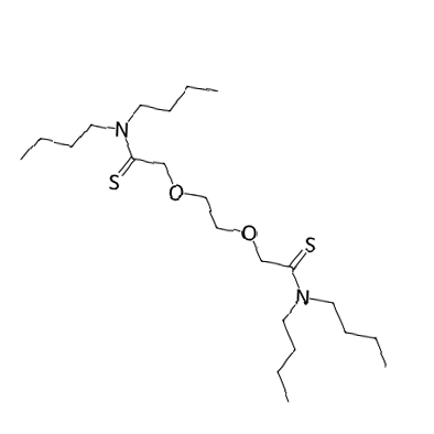 CCCCN(CCCC)C(=S)COCCOCC(=S)N(CCCC)CCCC